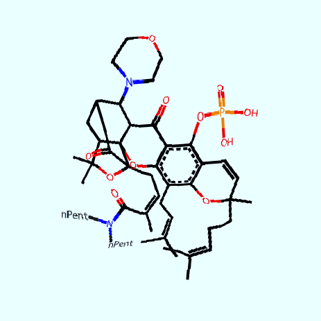 CCCCCN(CCCCC)C(=O)/C(C)=C\CC12OC(C)(C)C3CC(C1=O)C(N1CCOCC1)C1C(=O)c4c(OP(=O)(O)O)c5c(c(CC=C(C)C)c4OC132)OC(C)(CCC=C(C)C)C=C5